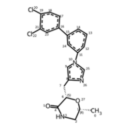 C[C@@H]1CNC(=O)[C@H](Cc2cn(-c3cccc(-c4ccc(Cl)c(Cl)c4)c3)cn2)O1